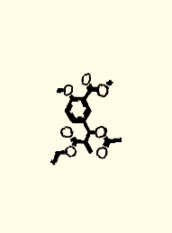 C=C(C(=O)OCC)C(OC(C)=O)c1ccc(OC)c(C(=O)OC)c1